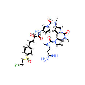 CN(CCC(=N)N)C(=O)n1ccc(N(C)C(=O)n2ccc(N(C)C(=O)n3ccc(NC(=O)C(=O)/C=C/c4ccc([S+]([O-])CCCl)cc4)c3)c2)c1